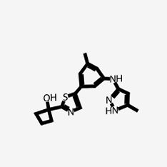 Cc1cc(Nc2cc(C)[nH]n2)cc(-c2cnc(C3(O)CCC3)s2)c1